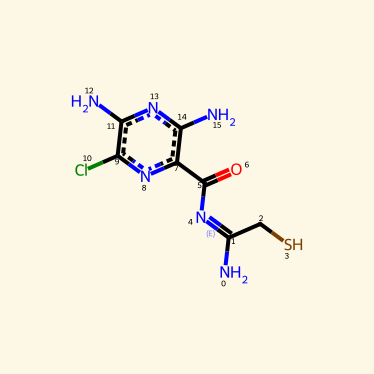 N/C(CS)=N/C(=O)c1nc(Cl)c(N)nc1N